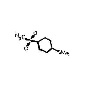 CSC1CCC(S(C)(=O)=O)CC1